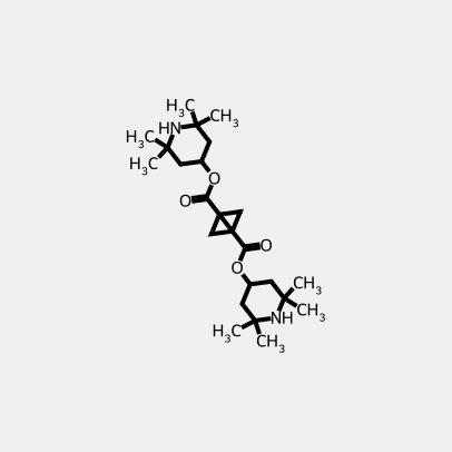 CC1(C)CC(OC(=O)C23CC2(C(=O)OC2CC(C)(C)NC(C)(C)C2)C3)CC(C)(C)N1